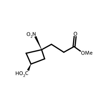 COC(=O)CC[C@]1([N+](=O)[O-])C[C@@H](C(=O)O)C1